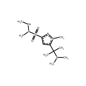 CPN(P)S(=O)(=O)c1cc(C(C)(C)N(C)C)n(C)n1